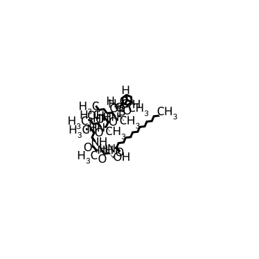 CCCCCCCCCCCCCC(=O)N[C@H](CO)C(=O)N[C@H](C)C(=O)NCC(=O)N(C)C(C(=O)N[C@@H](C)C(=O)NC(CC(C)C)C(=O)N[C@@H](C)B1OC2C[C@@H]3C[C@@H](C3(C)C)[C@]2(C)O1)C(C)O